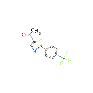 CC(=O)c1cnc(-c2ccc(C(F)(F)F)cc2)s1